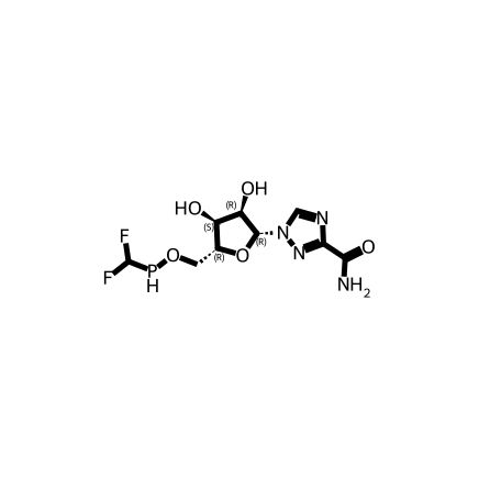 NC(=O)c1ncn([C@@H]2O[C@H](COPC(F)F)[C@@H](O)[C@H]2O)n1